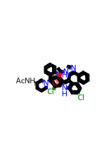 CC(=O)N[C@H]1CCCN(Cc2ccccc2NC(=O)c2[nH]c3cc(Cl)ccc3c2-c2c(-c3ccccc3)ncn2C(C)c2ccc(Cl)cc2)C1